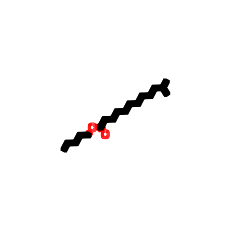 CCCCCOC(=O)CCCCCCCCCC(C)C